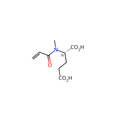 C=CC(=O)N(C)[C@@H](CCC(=O)O)C(=O)O